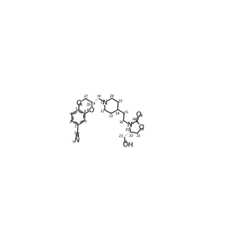 N#Cc1ccc2c(c1)O[C@@H](CN1CCC(CCN3C(=O)OC[C@@H]3CO)CC1)CO2